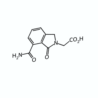 NC(=O)c1cccc2c1C(=O)N(CC(=O)O)C2